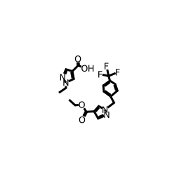 CCOC(=O)c1cnn(Cc2ccc(C(F)(F)F)cc2)c1.CCn1cc(C(=O)O)cn1